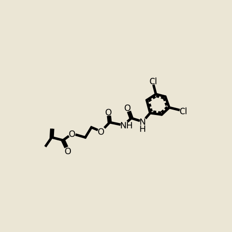 C=C(C)C(=O)OCCOC(=O)NC(=O)Nc1cc(Cl)cc(Cl)c1